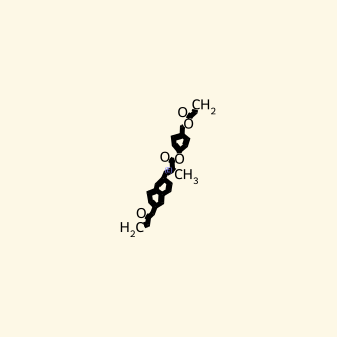 C=CC(=O)Cc1ccc2cc(/C=C(\C)C(=O)Oc3ccc(COC(=O)C=C)cc3)ccc2c1